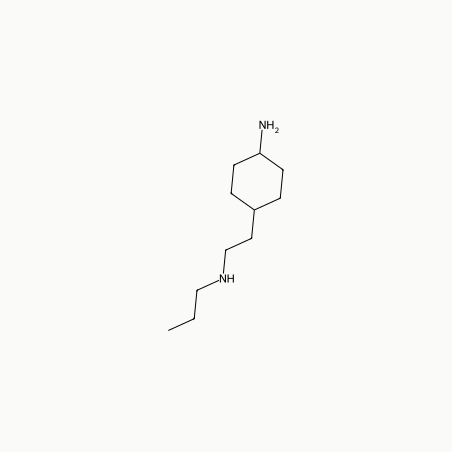 CCCNCCC1CCC(N)CC1